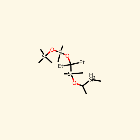 CCC(CC)(O[Si](C)(C)O[Si](C)(C)C)[Si](C)(C)OC(C)[SiH2]C